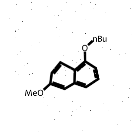 CCCCOc1cccc2cc(OC)ccc12